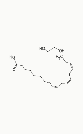 CC/C=C\C/C=C\C/C=C\CCCCCCCC(=O)O.OCCO